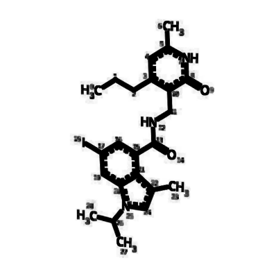 CCCc1cc(C)[nH]c(=O)c1CNC(=O)c1cc(I)cc2c1c(C)cn2C(C)C